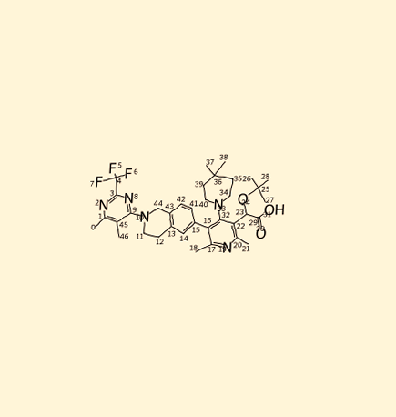 Cc1nc(C(F)(F)F)nc(N2CCc3cc(-c4c(C)nc(C)c(C(OC(C)(C)C)C(=O)O)c4N4CCC(C)(C)CC4)ccc3C2)c1C